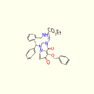 CCOC(=O)CCN1CN(C(c2ccccc2)c2ccccc2CN)n2ccc(=O)c(OCc3ccccc3)c2C1=O